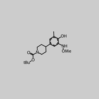 CONc1cc(C2CCN(C(=O)OC(C)(C)C)CC2)cc(C)c1O